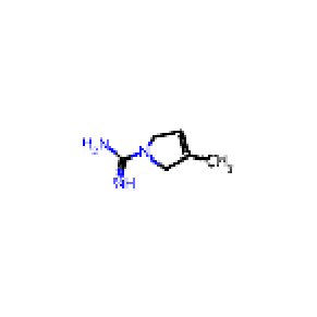 CC1=CCN(C(=N)N)C1